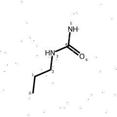 CCCNC([NH])=O